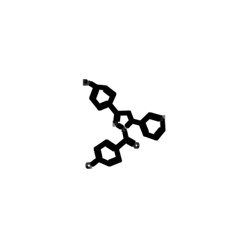 O=C(c1ccc(Cl)cc1)N1N=C(c2ccc(Br)cc2)CC1c1cccnc1